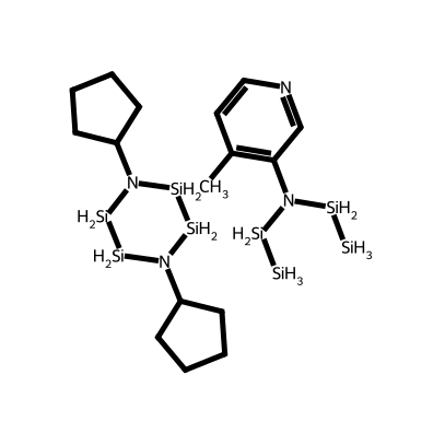 C1CCC(N2[SiH2][SiH2]N(C3CCCC3)[SiH2][SiH2]2)C1.Cc1ccncc1N([SiH2][SiH3])[SiH2][SiH3]